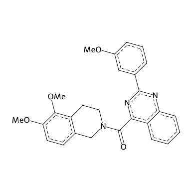 COc1cccc(-c2nc(C(=O)N3CCc4c(ccc(OC)c4OC)C3)c3ccccc3n2)c1